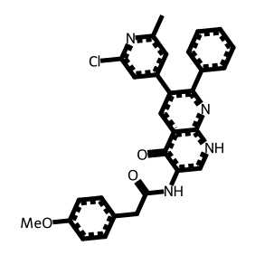 COc1ccc(CC(=O)Nc2c[nH]c3nc(-c4ccccc4)c(-c4cc(C)nc(Cl)c4)cc3c2=O)cc1